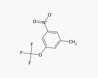 [CH2]c1cc(OC(F)(F)F)cc([N+](=O)[O-])c1